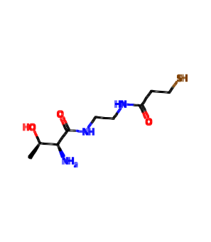 C[C@@H](O)[C@H](N)C(=O)NCCNC(=O)CCS